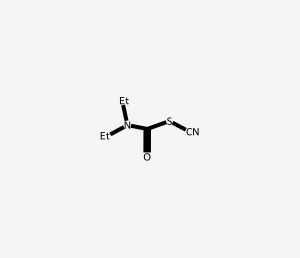 CCN(CC)C(=O)SC#N